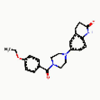 CCOc1ccc(C(=O)N2CCN(c3ccc4c(c3)CCC(=O)N4)CC2)cc1